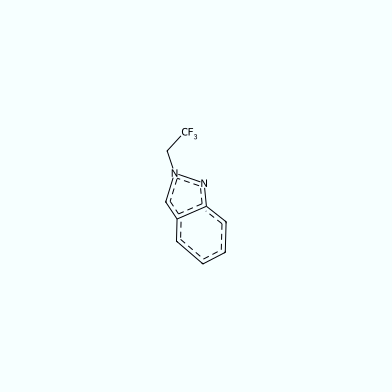 FC(F)(F)Cn1cc2ccccc2n1